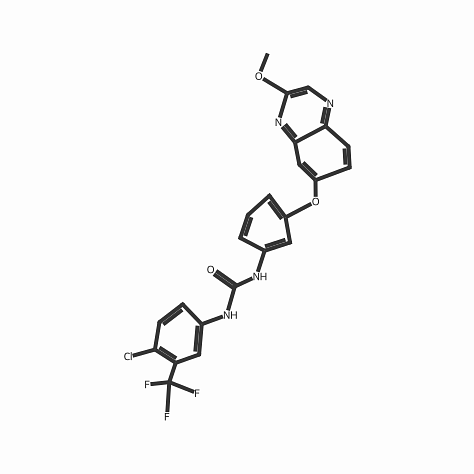 COc1cnc2ccc(Oc3cccc(NC(=O)Nc4ccc(Cl)c(C(F)(F)F)c4)c3)cc2n1